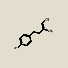 CC(=CC#N)CCc1ccc(C(C)C)cc1